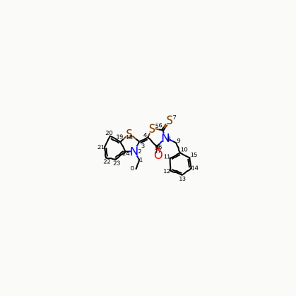 CCN1C(=C2SC(=S)N(Cc3ccccc3)C2=O)Sc2ccccc21